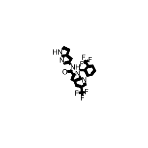 O=C(Nc1cnc2[nH]ccc2c1)c1cc2cc(C(F)(F)F)cnc2n1Cc1ccccc1C(F)(F)F